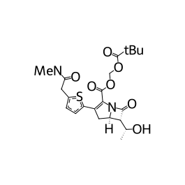 CNC(=O)Cc1ccc(C2=C(C(=O)OCOC(=O)C(C)(C)C)N3C(=O)[C@H]([C@@H](C)O)[C@H]3C2)s1